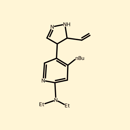 C=CC1NN=CC1c1cnc(N(CC)CC)cc1CCCC